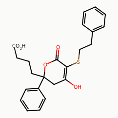 O=C(O)CCCC1(c2ccccc2)CC(O)=C(SCCc2ccccc2)C(=O)O1